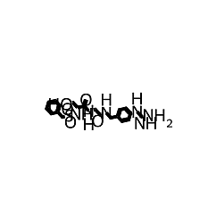 N=C(N)Nc1ccc(CNC(=O)CNC(=O)C(CO)NS(=O)(=O)Cc2ccccc2)cc1